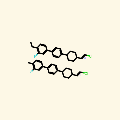 CCc1ccc(-c2ccc(C3CCC(/C=C/Cl)CC3)cc2)cc1F.Cc1ccc(-c2ccc(C3CCC(/C=C/Cl)CC3)cc2)cc1F